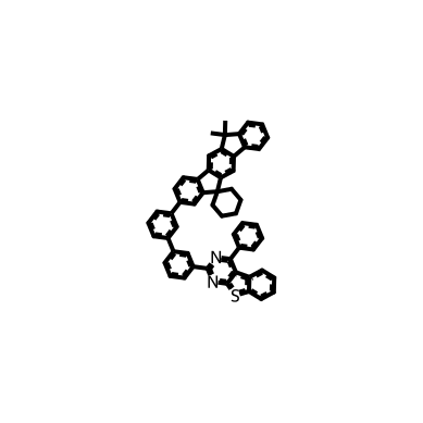 CC1(C)c2ccccc2-c2cc3c(cc21)-c1ccc(-c2cccc(-c4cccc(-c5nc(-c6ccccc6)c6c(n5)sc5ccccc56)c4)c2)cc1C31CCCCC1